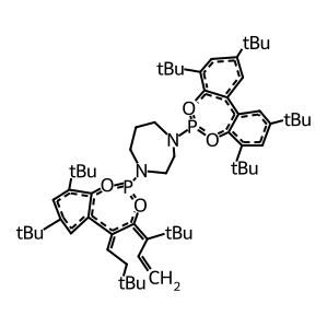 C=C/C(=c1/op(N2CCCN(p3oc4c(C(C)(C)C)cc(C(C)(C)C)cc4c4cc(C(C)(C)C)cc(C(C)(C)C)c4o3)CC2)oc2c(C(C)(C)C)cc(C(C)(C)C)cc2/c1=C/CC(C)(C)C)C(C)(C)C